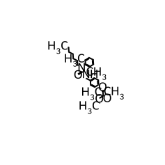 CCCCCCCN(C(=O)NCc1ccc(OC(C)(C)C(=O)OCC)cc1)c1c(C)cccc1C